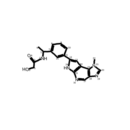 CC(NC(=O)CO)c1cccc(-c2cc3c(ncc4ncn(C)c43)[nH]2)c1